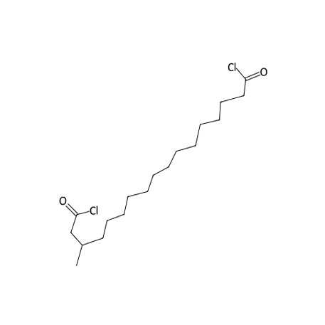 CC(CCCCCCCCCCCCCC(=O)Cl)CC(=O)Cl